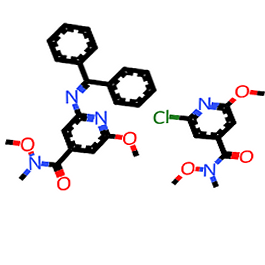 COc1cc(C(=O)N(C)OC)cc(Cl)n1.COc1cc(C(=O)N(C)OC)cc(N=C(c2ccccc2)c2ccccc2)n1